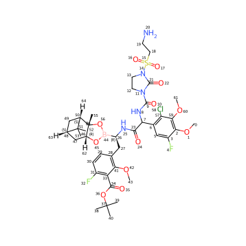 COc1c(F)cc(C(NC(=O)N2CCN(S(=O)(=O)CCN)C2=O)C(=O)N[C@@H](Cc2ccc(F)c(C(=O)OC(C)(C)C)c2OC)B2O[C@@H]3C[C@@H]4C[C@@H](C4(C)C)[C@]3(C)O2)c(Cl)c1OC